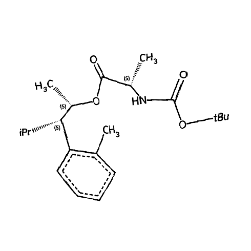 Cc1ccccc1[C@H](C(C)C)[C@H](C)OC(=O)[C@H](C)NC(=O)OC(C)(C)C